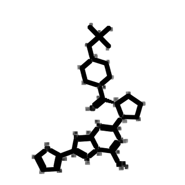 CC(C)(C)CN1CCN(C(=O)[C@@H]2CCCN2c2nc(N)n3nc(-c4ccco4)nc3n2)CC1